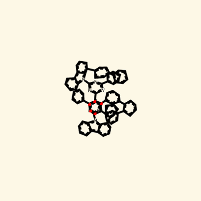 c1ccc(-c2ccc(-c3cccc4c5ccccc5n(-c5nc(-c6ccccc6)nc(-c6cccc(-c7cccc(-c8ccccc8-c8cccc(-c9nc(-c%10ccccc%10)nc(-n%10c%11ccccc%11c%11cccc(-c%12ccccc%12)c%11%10)n9)c8)c7)c6)n5)c34)cc2)cc1